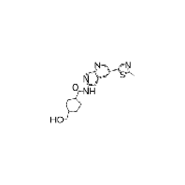 Cc1ncc(-c2cnc3cnc(NC(=O)C4CCC(CO)CC4)cc3c2)s1